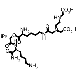 CC(C)[C@H](OC(=O)[C@@H](N)CCCCNC(=O)CN(CCNCC(=O)O)CC(=O)O)C(=O)N[C@@H](CCCCN)C(N)=O